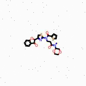 CN(C(=O)CCN(C(=O)c1cccs1)c1nc(C2Oc3ccccc3C2=O)cs1)C1COCCO1